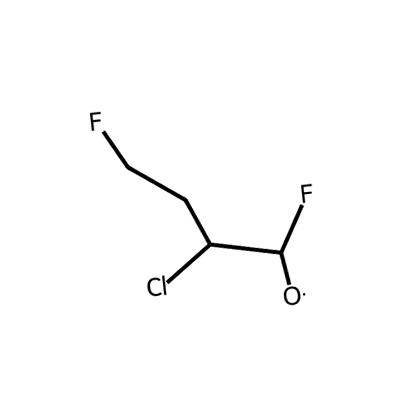 [O]C(F)C(Cl)CCF